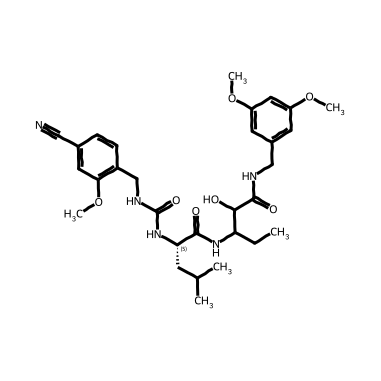 CCC(NC(=O)[C@H](CC(C)C)NC(=O)NCc1ccc(C#N)cc1OC)C(O)C(=O)NCc1cc(OC)cc(OC)c1